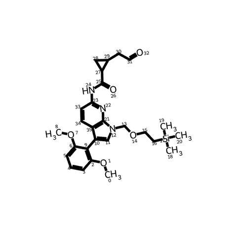 COc1cccc(OC)c1-c1cn(COCC[Si](C)(C)C)c2nc(NC(=O)C3CC3CC=O)ccc12